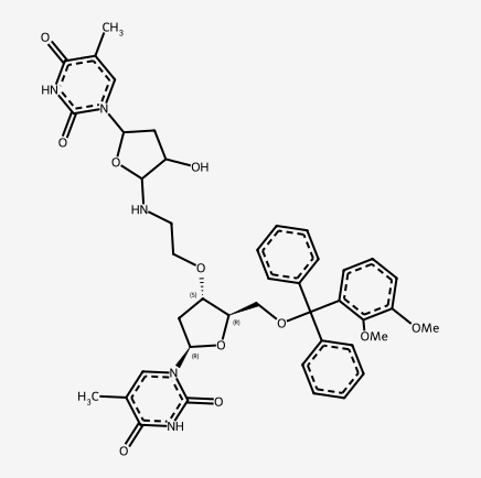 COc1cccc(C(OC[C@H]2O[C@@H](n3cc(C)c(=O)[nH]c3=O)C[C@@H]2OCCNC2OC(n3cc(C)c(=O)[nH]c3=O)CC2O)(c2ccccc2)c2ccccc2)c1OC